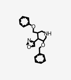 c1ccc(COC2CNCC(COc3ccccc3)C2c2cocn2)cc1